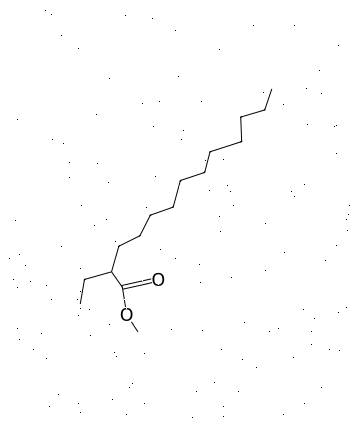 CCCCCCCCCCCC(CC)C(=O)OC